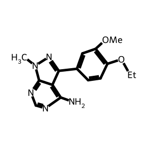 CCOc1ccc(-c2nn(C)c3ncnc(N)c23)cc1OC